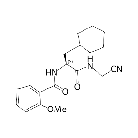 COc1ccccc1C(=O)N[C@@H](CC1CCCCC1)C(=O)NCC#N